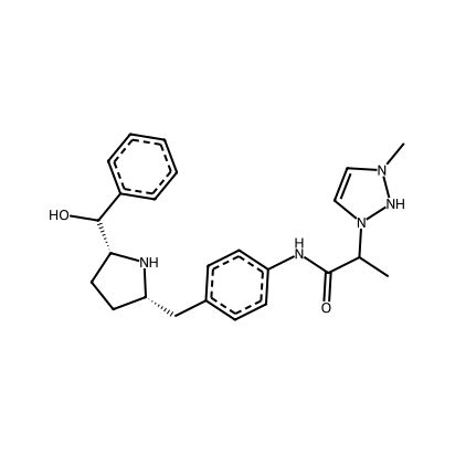 CC(C(=O)Nc1ccc(C[C@@H]2CC[C@H](C(O)c3ccccc3)N2)cc1)N1C=CN(C)N1